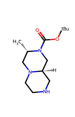 C[C@H]1CN2CCNC[C@@H]2CN1C(=O)OC(C)(C)C